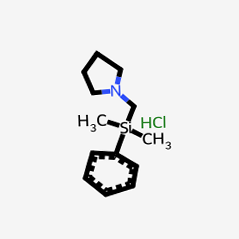 C[Si](C)(CN1CCCC1)c1ccccc1.Cl